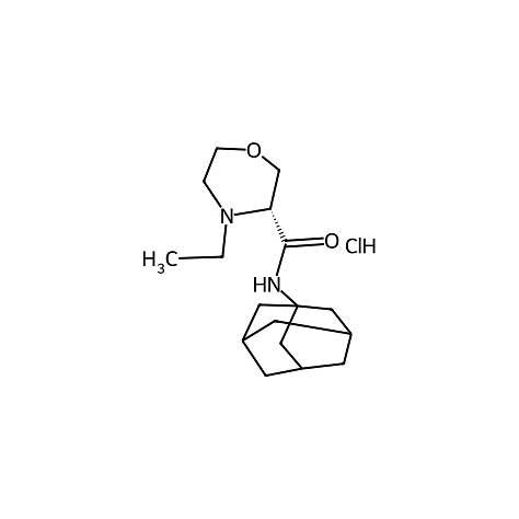 CCN1CCOC[C@@H]1C(=O)NC12CC3CC(CC(C3)C1)C2.Cl